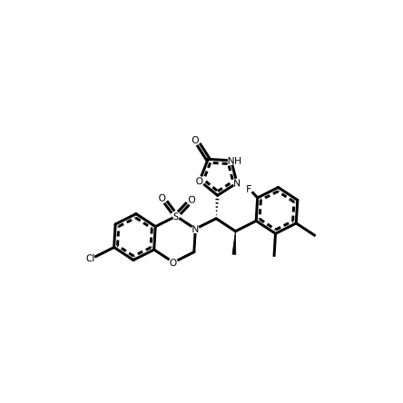 Cc1ccc(F)c([C@@H](C)[C@@H](c2n[nH]c(=O)o2)N2COc3cc(Cl)ccc3S2(=O)=O)c1C